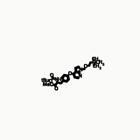 COC(=O)C(Cc1ccc(Oc2ccnc3c2ccn3COCC[Si](C)(C)C)cc1)NC(=O)OC(C)(C)C